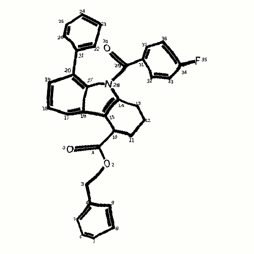 O=C(OCc1ccccc1)C1CCCc2c1c1cccc(-c3ccccc3)c1n2C(=O)c1ccc(F)cc1